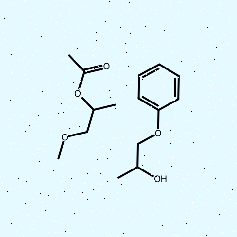 CC(O)COc1ccccc1.COCC(C)OC(C)=O